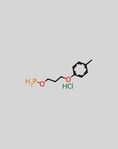 Cc1ccc(OCCCOP)cc1.Cl